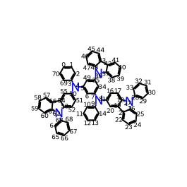 c1ccc(N(c2cc(N(c3ccccc3)c3ccc4c(c3)c3ccccc3n4-c3ccccc3)cc(-n3c4ccccc4c4ccccc43)c2)c2ccc3c(c2)c2ccccc2n3-c2ccccc2)cc1